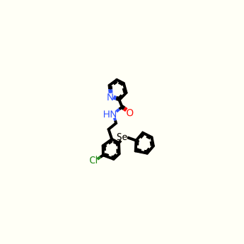 O=C(NCCc1cc(Cl)ccc1[Se]c1ccccc1)c1ccccn1